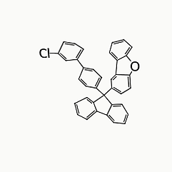 Clc1cccc(-c2ccc(C3(c4ccc5oc6ccccc6c5c4)c4ccccc4-c4ccccc43)cc2)c1